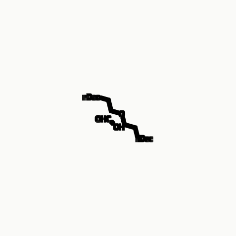 CCCCCCCCCCCCOCCCCCCCCCCCC.O=CO